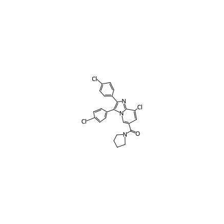 O=C(c1cc(Cl)c2nc(-c3ccc(Cl)cc3)c(-c3ccc(Cl)cc3)n2c1)N1CCCC1